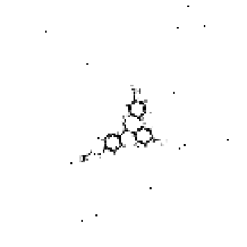 O=C(c1ccc(CCCl)cc1)c1ccc(O)cc1-c1ccc(O)cc1